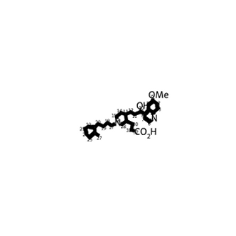 COc1ccc2nccc([C@@H](O)CCC3CCN(CCCCc4ccccc4C)CC3CCC(=O)O)c2c1